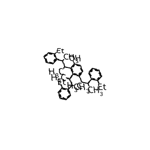 CCc1ccccc1C(C)C(C)c1ccc(O)c(C(C)C(C)c2ccccc2CC)c1C(C)C(C)c1ccccc1CC